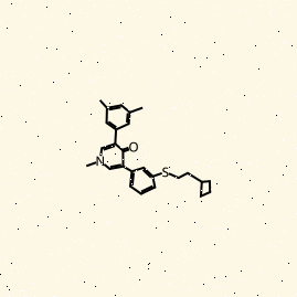 Cc1cc(C)cc(-c2cn(C)cc(-c3cccc(SCCC4CCC4)c3)c2=O)c1